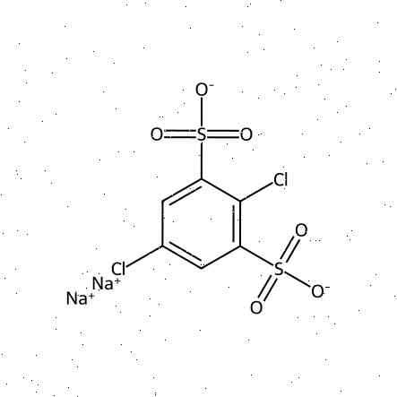 O=S(=O)([O-])c1cc(Cl)cc(S(=O)(=O)[O-])c1Cl.[Na+].[Na+]